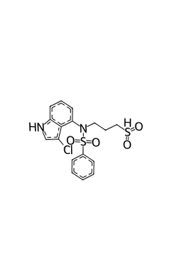 O=[SH](=O)CCCN(c1cccc2[nH]cc(Cl)c12)S(=O)(=O)c1ccccc1